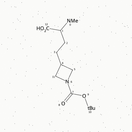 CNC(CCC1CN(C(=O)OC(C)(C)C)C1)C(=O)O